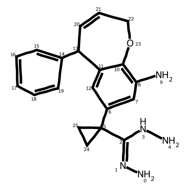 N/N=C(\NN)C1(c2cc(N)c3c(c2)C(c2ccccc2)C=CCO3)CC1